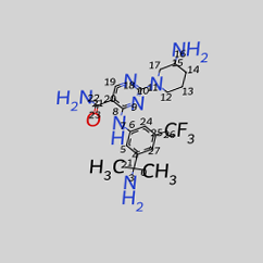 CC(C)(N)c1cc(Nc2nc(N3CCCC(N)C3)ncc2C(N)=O)cc(C(F)(F)F)c1